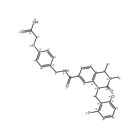 CC1c2ccc(C(=O)NCc3ccc(OCC(=O)O)cc3)cc2N(Cc2c(F)cccc2Cl)C(=O)N1C